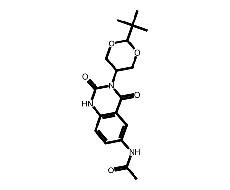 CC(=O)Nc1ccc2[nH]c(=O)n(C3COC(C(C)(C)C)OC3)c(=O)c2c1